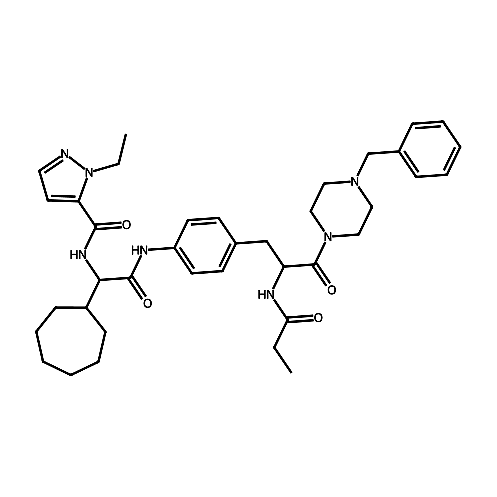 CCC(=O)NC(Cc1ccc(NC(=O)C(NC(=O)c2ccnn2CC)C2CCCCCC2)cc1)C(=O)N1CCN(Cc2ccccc2)CC1